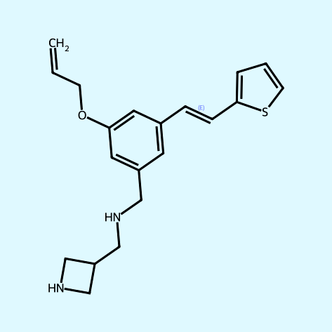 C=CCOc1cc(/C=C/c2cccs2)cc(CNCC2CNC2)c1